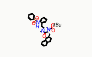 CN(CCc1ccccc1NS(=O)(=O)c1ccccc1)C(=O)[C@@H](Cc1ccc2ccccc2c1)N(C)C(=O)OC(C)(C)C